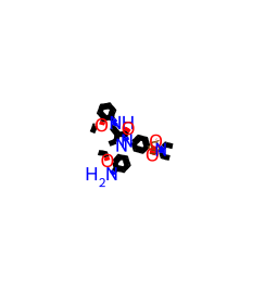 CCOc1ccccc1N.CCOc1ccccc1NC=C1C(=O)N(c2ccc(S(=O)(=O)N(CC)CC)cc2)N=C1C